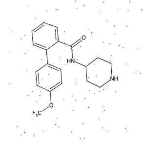 O=C(NC1CCNCC1)c1ccccc1-c1ccc(OC(F)(F)F)cc1